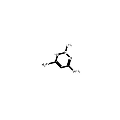 CN1N=C([AsH2])C=C([AsH2])N1